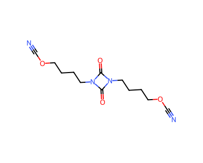 N#COCCCCN1C(=O)N(CCCCOC#N)C1=O